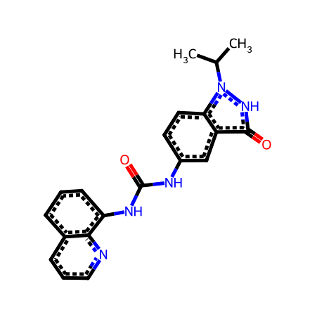 CC(C)n1[nH]c(=O)c2cc(NC(=O)Nc3cccc4cccnc34)ccc21